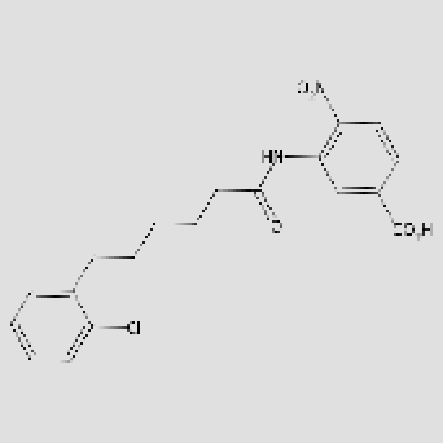 O=C(CCCCCc1ccccc1Cl)Nc1cc(C(=O)O)ccc1[N+](=O)[O-]